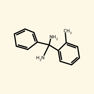 Cc1ccccc1C(N)(N)c1ccccc1